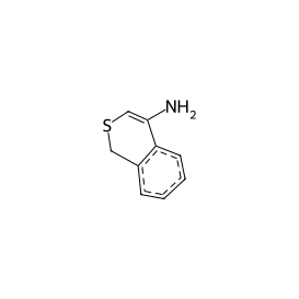 NC1=CSCc2ccccc21